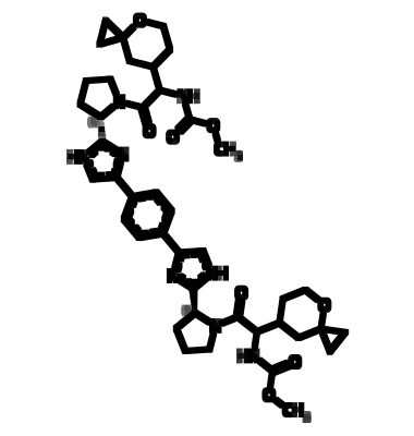 COC(=O)NC(C(=O)N1CCC[C@H]1c1nc(-c2ccc(-c3c[nH]c([C@@H]4CCCN4C(=O)C(NC(=O)OC)C4CCOC5(CC5)C4)n3)cc2)c[nH]1)C1CCOC2(CC2)C1